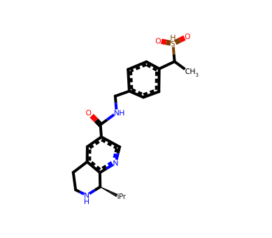 CC(C)[C@H]1NCCc2cc(C(=O)NCc3ccc(C(C)[SH](=O)=O)cc3)cnc21